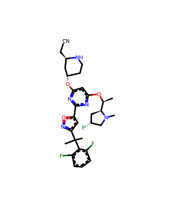 C[C@H](Oc1cc(O[C@H]2CCN[C@H](CC#N)C2)nc(-c2cc(C(C)(C)c3c(F)cccc3F)no2)n1)[C@@H]1C[C@@H](F)CN1C